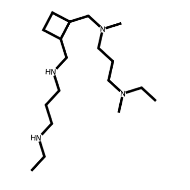 CCNCCCNCC1CCC1CN(C)CCCN(C)CC